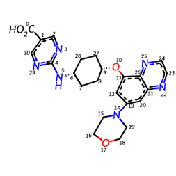 O=C(O)c1cnc(N[C@H]2CC[C@@H](Oc3cc(N4CCOCC4)cc4nccnc34)CC2)nc1